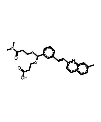 Cc1ccc2ccc(/C=C/c3cccc(C(SCCC(=O)O)SCCC(=O)N(C)C)c3)nc2c1